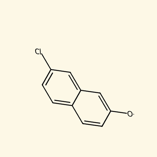 [O]c1ccc2ccc(Cl)cc2c1